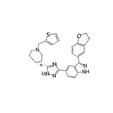 c1csc(CN2CCC[C@@H](c3nc(-c4ccc5[nH]nc(-c6ccc7c(c6)CCO7)c5c4)n[nH]3)C2)c1